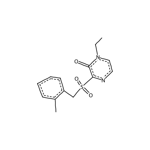 CCn1ccnc(S(=O)(=O)Cc2ccccc2C)c1=O